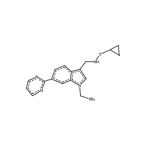 CC(C)(C)Cn1cc(CNSC2CC2)c2ccc(-c3ncccn3)cc21